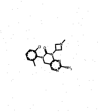 Cc1cccc(Cl)c1N1Cc2cnc(N)nc2N(C2CN(C)C2)C1=O